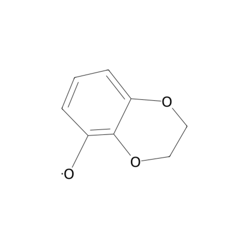 [O]c1cccc2c1OCCO2